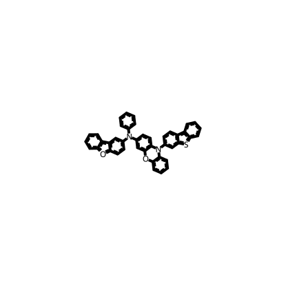 c1ccc(N(c2ccc3c(c2)Oc2ccccc2N3c2ccc3c(c2)sc2ccccc23)c2ccc3oc4ccccc4c3c2)cc1